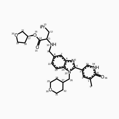 Cc1cc(-c2nc3cc(CNC(CC(C)C)C(=O)O[C@H]4CCOC4)ccc3n2CC2CCOCC2)c[nH]c1=O